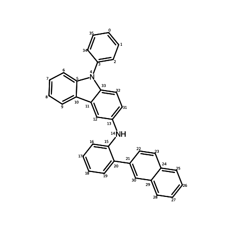 c1ccc(-n2c3ccccc3c3cc(Nc4ccccc4-c4ccc5ccccc5c4)ccc32)cc1